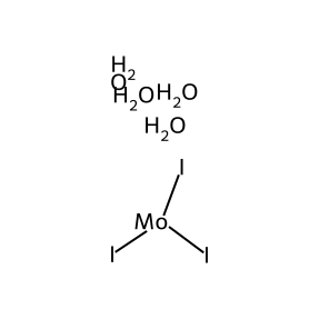 O.O.O.O.[I][Mo]([I])[I]